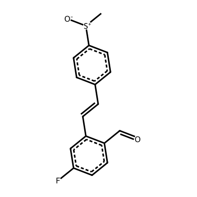 C[S+]([O-])c1ccc(C=Cc2cc(F)ccc2C=O)cc1